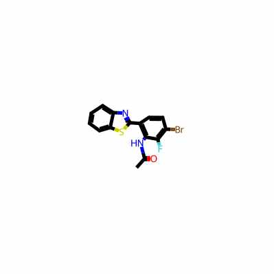 CC(=O)Nc1c(-c2nc3ccccc3s2)ccc(Br)c1F